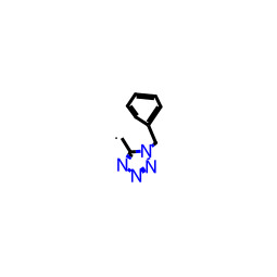 [CH2]c1nnnn1Cc1ccccc1